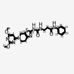 COc1cc(N2CCc3nc(NC(=O)NCCC(=O)Nc4ccccc4)sc3C2)nc(OC)n1